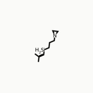 CC(C)=C[SiH2]CCCN1CC1